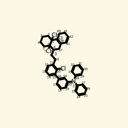 CC12CCCCC1(C)C(CCc1cccc(-c3cccc(N(c4ccccc4)c4ccccc4)c3)c1Cl)CC1=C2CCC=C1